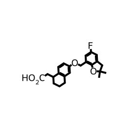 CC1(C)Cc2cc(F)cc(COc3ccc4c(c3)CCCC4CC(=O)O)c2O1